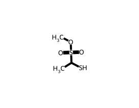 COS(=O)(=O)C(C)S